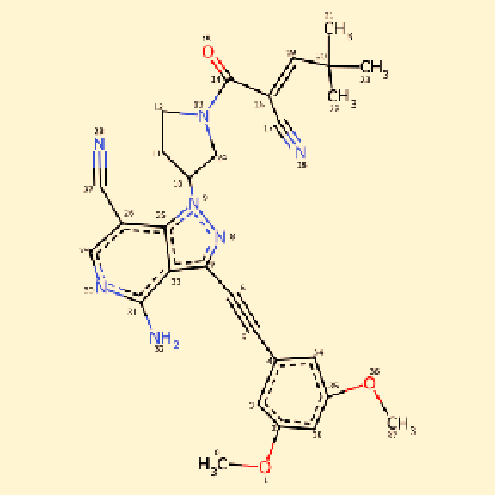 COc1cc(C#Cc2nn(C3CCN(C(=O)C(C#N)=CC(C)(C)C)C3)c3c(C#N)cnc(N)c23)cc(OC)c1